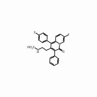 O=C(O)NCCc1c(-c2ccccc2)c(=O)n2cc(F)ccc2c1-c1ccc(F)cc1